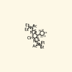 CCN(CC)N(C(C)=O)c1nc2c(Cl)c3nc(N(C(C)=O)N(CC)CC)sc3c(-c3ccccc3)c2s1